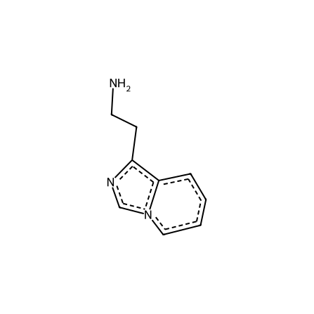 NCCc1ncn2ccccc12